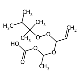 C=CC(OOC(C)(C)C(C)C)OC(C)OC(=O)O